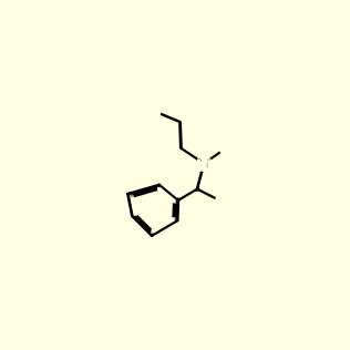 CC[CH]N(C)C(C)c1ccccc1